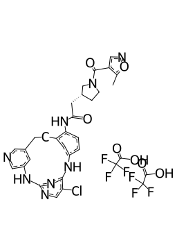 Cc1oncc1C(=O)N1CC[C@H](CC(=O)Nc2ccc3cc2CCc2cncc(c2)Nc2ncc(Cl)c(n2)N3)C1.O=C(O)C(F)(F)F.O=C(O)C(F)(F)F